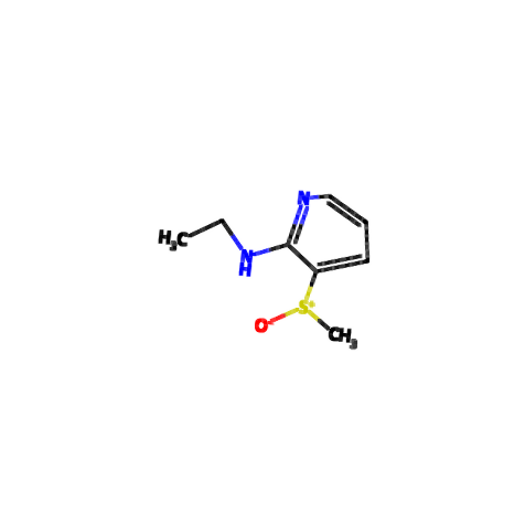 CCNc1ncccc1[S+](C)[O-]